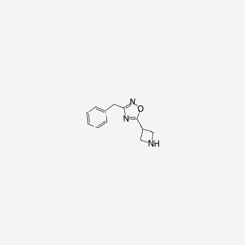 c1ccc(Cc2noc(C3CNC3)n2)cc1